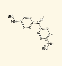 CC(C)(C)Nc1ccc(C(=O)c2ccc(NC(C)(C)C)cc2)cc1